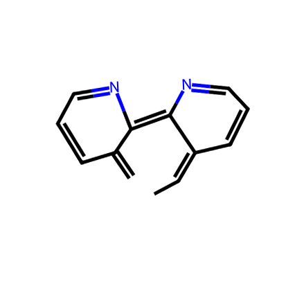 C=c1cccn/c1=c1\nccc\c1=C\C